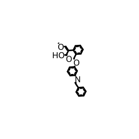 COC=C(C(=O)O)c1ccccc1COc1cccc(N=Cc2ccccc2)c1